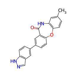 Cc1ccc2c(c1)NC(=O)c1cc(-c3ccc4[nH]ncc4c3)ccc1O2